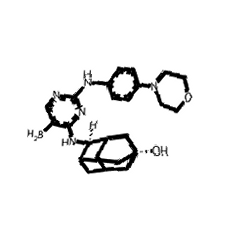 Bc1cnc(Nc2ccc(N3CCOCC3)cc2)nc1N[C@H]1C2CC3CC1C[C@](O)(C3)C2